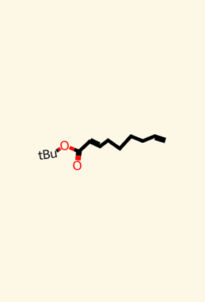 C=CCCCCC=CC(=O)OC(C)(C)C